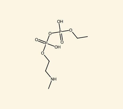 CCOP(=O)(O)OP(=O)(O)OCCNC